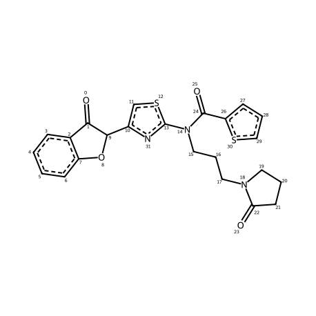 O=C1c2ccccc2OC1c1csc(N(CCCN2CCCC2=O)C(=O)c2cccs2)n1